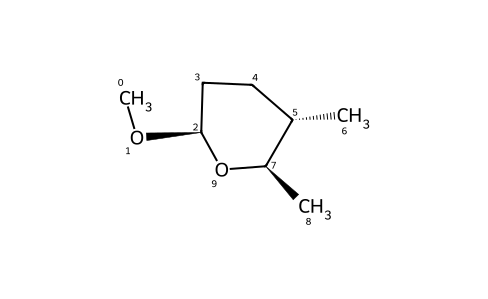 CO[C@H]1CC[C@H](C)[C@@H](C)O1